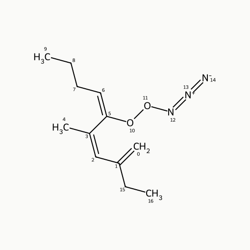 C=C(/C=C(C)\C(=C/CCC)OON=[N+]=[N-])CC